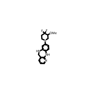 COC1CN(c2ccc3c(c2)NCc2cccnc2N3)CCC1(F)F